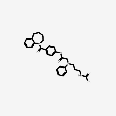 CC(=O)NCCCN(CC(=O)Nc1ccc(C(=O)N2CCCCc3ccccc32)cc1)c1ccccc1